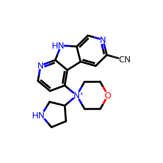 N#Cc1cc2c(cn1)[nH]c1nccc([N+]3(C4CCNC4)CCOCC3)c12